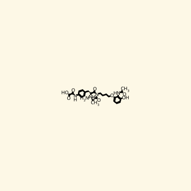 COC(=O)N(CCCCOc1cccc(O)c1NC(C)=O)C(=O)[C@H](Cc1ccc(NC(=O)C(=O)O)cc1)NN